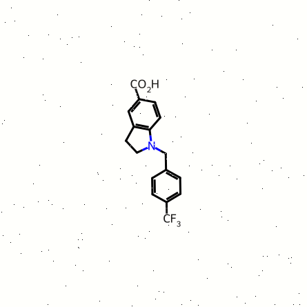 O=C(O)c1ccc2c(c1)CCN2Cc1ccc(C(F)(F)F)cc1